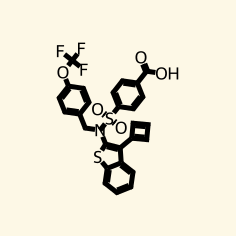 O=C(O)c1ccc(S(=O)(=O)N(Cc2ccc(OC(F)(F)F)cc2)c2sc3ccccc3c2C2=CC=C2)cc1